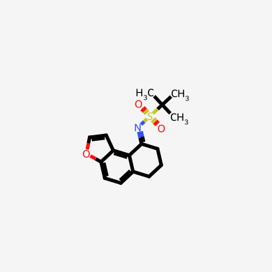 CC(C)(C)S(=O)(=O)N=C1CCCc2ccc3occc3c21